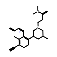 C#CC1=C(C)C(/C=C\C=C)=C(C2CC(C)CN(CCC(=C)N(C)C)C2)CC1